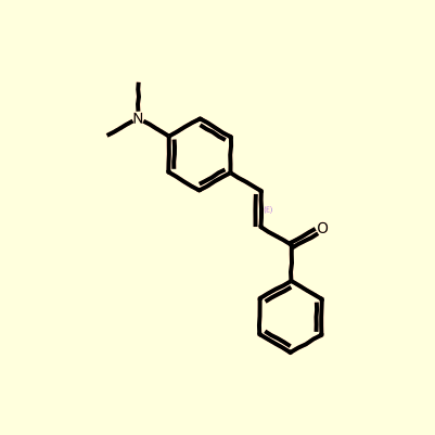 CN(C)c1ccc(/C=C/C(=O)c2ccccc2)cc1